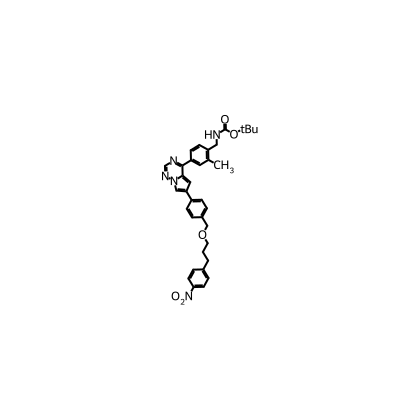 Cc1cc(-c2ncnn3cc(-c4ccc(COCCCc5ccc([N+](=O)[O-])cc5)cc4)cc23)ccc1CNC(=O)OC(C)(C)C